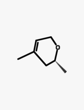 CC1=CCO[C@H](C)C1